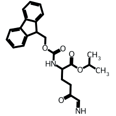 CC(C)OC(=O)C(CCC(=O)C=N)NC(=O)OCC1c2ccccc2-c2ccccc21